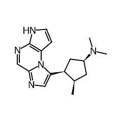 C[C@@H]1C[C@H](N(C)C)C[C@@H]1c1cnc2cnc3[nH]ccc3n12